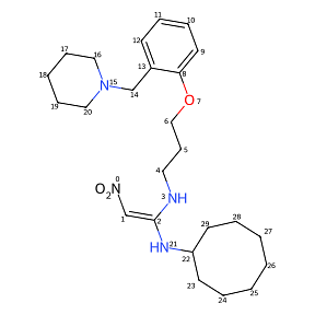 O=[N+]([O-])C=C(NCCCOc1ccccc1CN1CCCCC1)NC1CCCCCCC1